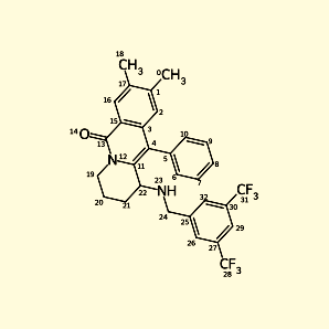 Cc1cc2c(-c3ccccc3)c3n(c(=O)c2cc1C)CCCC3NCc1cc(C(F)(F)F)cc(C(F)(F)F)c1